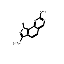 CCOC(=O)c1nn(C)c2c1ccc1cnc(SC)nc12